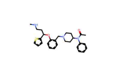 CNCCC(Oc1ccccc1CN1CCC(N(C(C)=O)c2ccccc2)CC1)c1cccs1